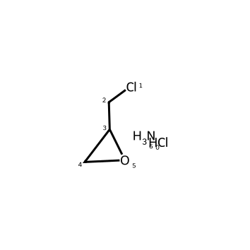 Cl.ClCC1CO1.N